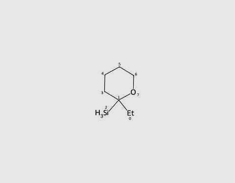 CCC1([SiH3])CCCCO1